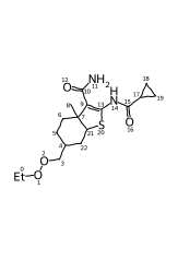 CCOOCC1CCC2(C)C(C(N)=O)=C(NC(=O)C3CC3)SC2C1